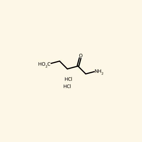 Cl.Cl.NCC(=O)CCC(=O)O